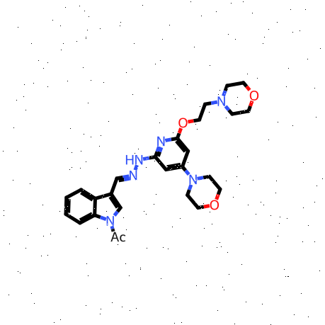 CC(=O)n1cc(C=NNc2cc(N3CCOCC3)cc(OCCN3CCOCC3)n2)c2ccccc21